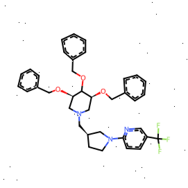 FC(F)(F)c1ccc(N2CC[C@@H](CN3C[C@H](OCc4ccccc4)C(OCc4ccccc4)[C@H](OCc4ccccc4)C3)C2)nc1